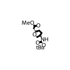 COC(=O)C[C@@H]1CC[C@@H](NC(=O)OC(C)(C)C)CO1